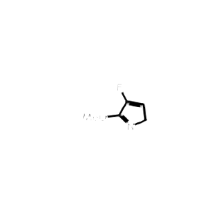 COC1=NCC=C1F